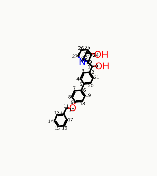 OC(c1ccc(-c2ccc(OCc3ccccc3)cc2)cc1)C1C(O)C2CCN1CC2